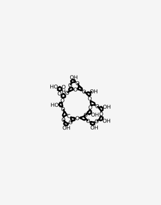 Oc1cc(O)cc(Oc2cc3cc(c2)Oc2cc4cc(c2)Oc2cc(cc(c2)Oc2cc(O)cc(c2)Oc2cc5cc(c2)oc2cc(O)cc(c2)oc2cc(cc(c2)oc2cc(O)cc(c2)oc2cc(O)cc(c2)oc2cc(O)cc(c2)o5)Oc2cc5cc(c2)Oc2cc(O)cc(c2)Oc2cc(cc(c2)Oc2cc(O)cc(c2)O3)C5)Oc2cc(O)cc(c2)O4)c1